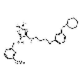 COc1cccc(CNC2=NS(=O)(=O)N=C2NCCCOc2cccc(CN3CCCCC3)c2)c1